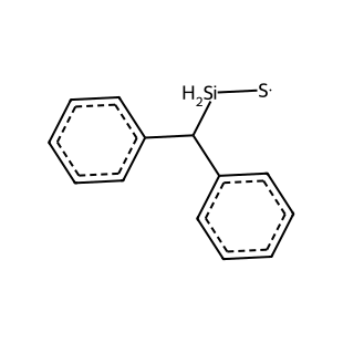 [S][SiH2]C(c1ccccc1)c1ccccc1